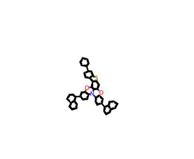 c1ccc(-c2ccc3c(c2)sc2cc4c5c(c23)Oc2cc(-c3cccc6ccccc36)ccc2N5c2ccc(-c3cccc5ccccc35)cc2O4)cc1